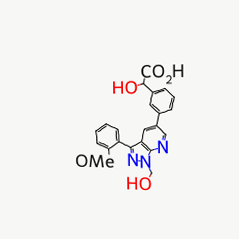 COc1ccccc1-c1nn(CO)c2ncc(-c3cccc(C(O)C(=O)O)c3)cc12